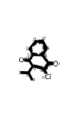 CC(C)C1=C(Cl)C(=O)c2ccccc2C1=O